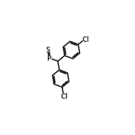 S=PC(c1ccc(Cl)cc1)c1ccc(Cl)cc1